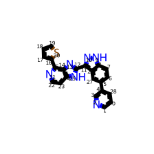 c1cncc(-c2ccc3[nH]nc(-c4nc5c(-c6cccs6)nccc5[nH]4)c3c2)c1